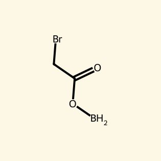 BOC(=O)CBr